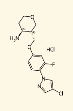 Cl.N[C@H]1CCOC[C@@H]1COc1ccc(-n2cc(Cl)cn2)c(F)c1